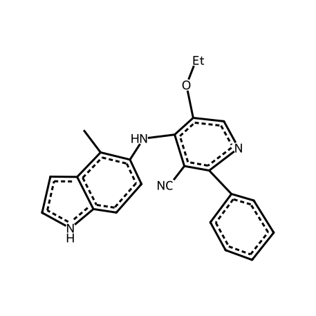 CCOc1cnc(-c2ccccc2)c(C#N)c1Nc1ccc2[nH]ccc2c1C